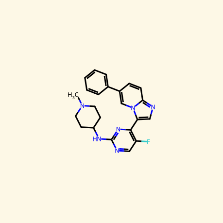 CN1CCC(Nc2ncc(F)c(-c3cnc4ccc(-c5ccccc5)cn34)n2)CC1